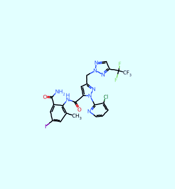 Cc1cc(I)cc(C(N)=O)c1NC(=O)c1cc(Cn2ncc(C(F)(F)C(F)(F)F)n2)nn1-c1ncccc1Cl